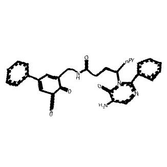 CCCC(CCC(=O)NCC1=CC(c2ccccc2)=CC(=O)C1=O)n1c(-c2ccccc2)ncc(N)c1=O